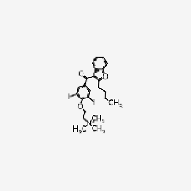 CCCCc1oc2ccccc2c1C(=O)c1cc(I)c(OCC[N+](C)(C)C)c(I)c1